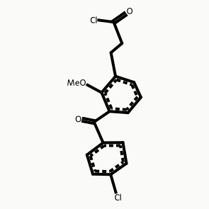 COc1c(CCC(=O)Cl)cccc1C(=O)c1ccc(Cl)cc1